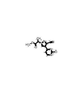 COC(=O)C(C)n1cc(-c2ccnc(Cl)n2)c(C#N)n1